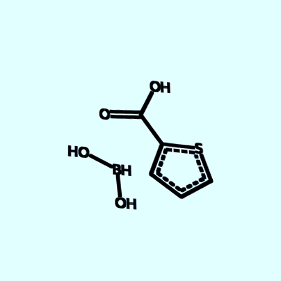 O=C(O)c1cccs1.OBO